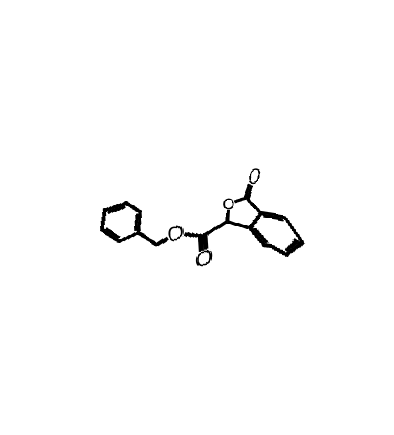 O=C1OC(C(=O)OCc2ccccc2)c2ccccc21